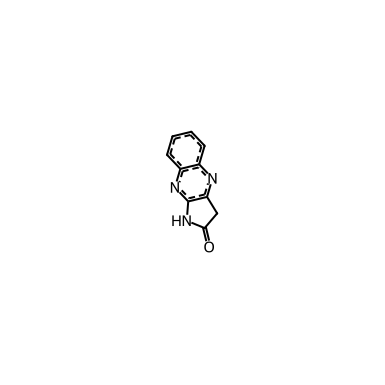 O=C1Cc2nc3ccccc3nc2N1